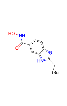 CC(C)(C)Cc1nc2ccc(C(=O)NO)cc2[nH]1